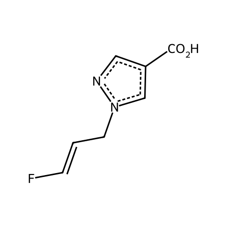 O=C(O)c1cnn(CC=CF)c1